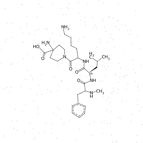 CNC(Cc1ccccc1)C(=O)N[C@H](CC(C)C)C(=O)NC(CCCCN)C(=O)N1CCC(N)(C(=O)O)CC1